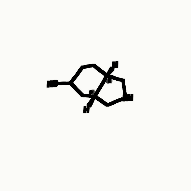 OC1CC[C@@H]2CNC[C@@H]2C1